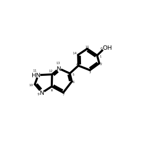 Oc1ccc(-c2ccc3nc[nH]c3n2)cc1